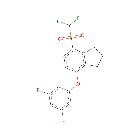 O=S(=O)(c1ccc(Oc2cc(F)cc(F)c2)c2c1CCC2)C(F)F